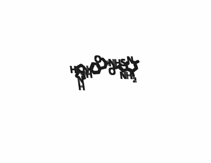 Cc1cc(C)c2c(N)c(C(=O)N[C@H]3COc4cc(N5CC[C@@H]6CNC[C@@H]65)ccc4C3)sc2n1